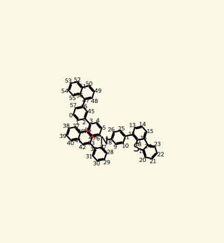 c1cc(-c2ccc(N(c3ccc(-c4cccc5c4sc4ccccc45)cc3)c3ccccc3-c3ccc4ccccc4c3)cc2)cc(-c2cccc3ccccc23)c1